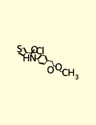 CCOC(=O)Cc1ccc(NC(=O)c2ccsc2)c(Cl)c1